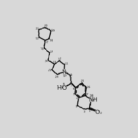 O=C1CCc2cc(C(O)CN3CCC(CCCC4CCCCC4)CC3)ccc2N1